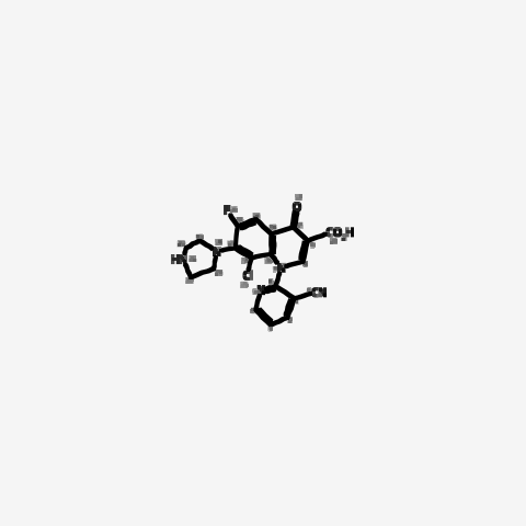 N#Cc1cccnc1-n1cc(C(=O)O)c(=O)c2cc(F)c(N3CCNCC3)c(Cl)c21